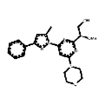 CO[C@H](CO)c1nc(N2CCOCC2)cc(-n2nc(-c3ccccc3)cc2C)n1